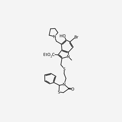 CCOC(=O)c1c(CSCCN2C(=O)CSC2c2ccccc2)n(C)c2cc(Br)c(O)c(CN3CCCC3)c12